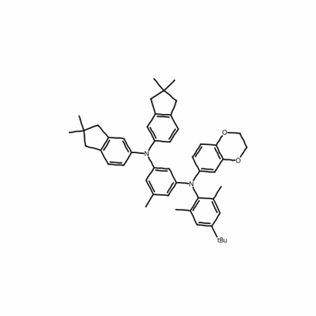 Cc1cc(N(c2ccc3c(c2)CC(C)(C)C3)c2ccc3c(c2)CC(C)(C)C3)cc(N(c2ccc3c(c2)OCCO3)c2c(C)cc(C(C)(C)C)cc2C)c1